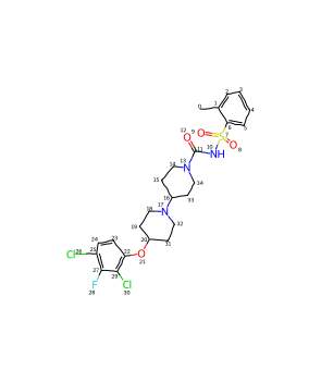 Cc1ccccc1S(=O)(=O)NC(=O)N1CCC(N2CCC(Oc3ccc(Cl)c(F)c3Cl)CC2)CC1